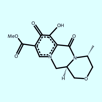 COC(=O)c1cn2c(c(O)c1=O)C(=O)N1[C@@H](COC[C@H]1C)C2